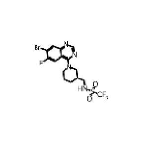 O=S(=O)(NCC1CCCN(c2ncnc3cc(Br)c(F)cc23)C1)C(F)(F)F